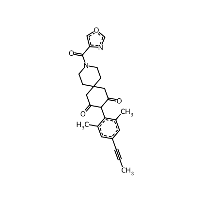 CC#Cc1cc(C)c(C2C(=O)CC3(CCN(C(=O)c4cocn4)CC3)CC2=O)c(C)c1